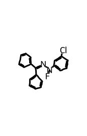 FN(N=C(c1ccccc1)c1ccccc1)c1cccc(Cl)c1